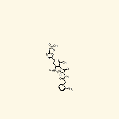 Nc1ccccc1CC(=O)NC1C(=O)N2C(C(=O)O)=C(CSc3nnc(CS(=O)(=O)O)o3)CS[C@H]12.[NaH]